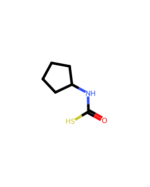 O=C(S)NC1CCCC1